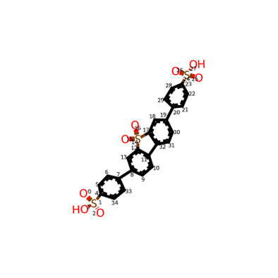 O=S(=O)(O)c1ccc(-c2ccc3c(c2)S(=O)(=O)c2cc(-c4ccc(S(=O)(=O)O)cc4)ccc2-3)cc1